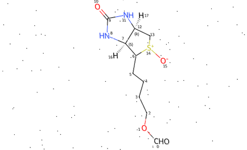 O=COCCCCC1[C@H]2NC(=O)N[C@H]2C[S+]1[O-]